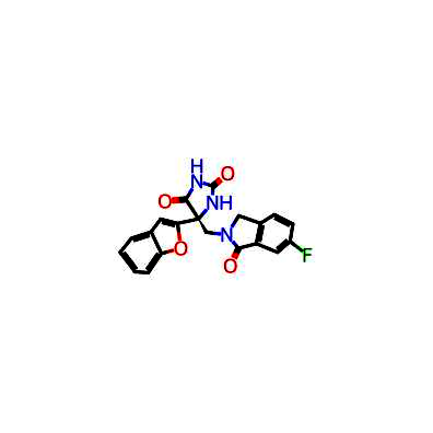 O=C1NC(=O)[C@@](CN2Cc3ccc(F)cc3C2=O)(c2cc3ccccc3o2)N1